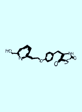 O=C1NC(Cc2ccc(OCCc3cccc(CO)n3)cc2)C(=O)S1